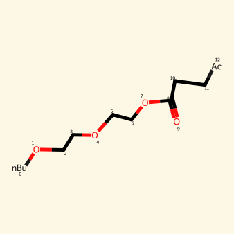 CCCCOCCOCCOC(=O)CCC(C)=O